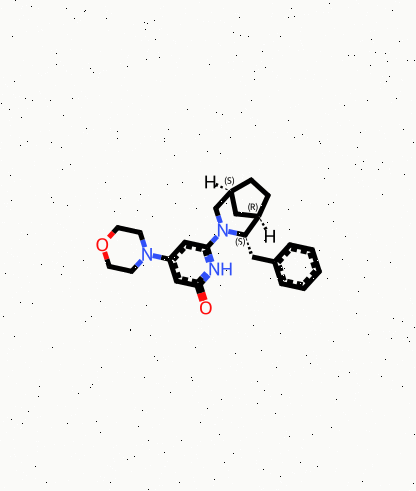 O=c1cc(N2CCOCC2)cc(N2C[C@H]3CC[C@H](C3)[C@@H]2Cc2ccccc2)[nH]1